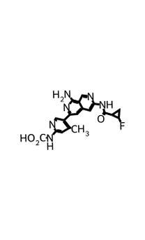 Cc1cc(NC(=O)O)ncc1-c1cc2cc(NC(=O)C3CC3F)ncc2c(N)n1